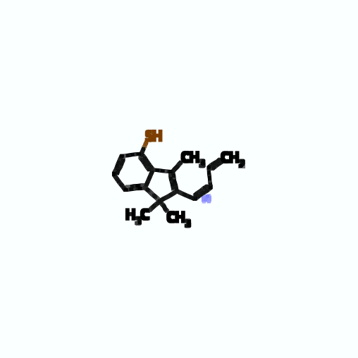 C=C/C=C\C1=C(C)c2c(S)cccc2C1(C)C